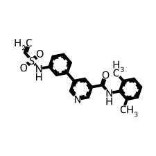 C=CS(=O)(=O)Nc1cccc(-c2cncc(C(=O)Nc3c(C)cccc3C)c2)c1